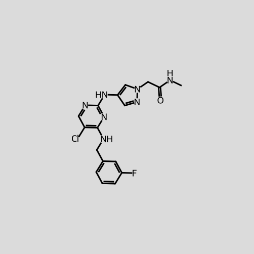 CNC(=O)Cn1cc(Nc2ncc(Cl)c(NCc3cccc(F)c3)n2)cn1